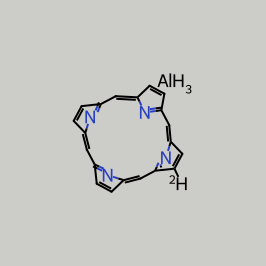 [2H]C1=CC2=CC3=NC(=CC4=NC(=CC5=NC(=CC1=N2)C=C5)C=C4)C=C3.[AlH3]